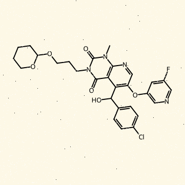 Cn1c(=O)n(CCCOC2CCCCO2)c(=O)c2c(C(O)c3ccc(Cl)cc3)c(Oc3cncc(F)c3)cnc21